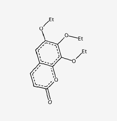 CCOc1cc2ccc(=O)oc2c(OCC)c1OCC